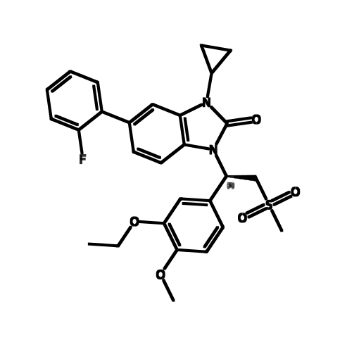 CCOc1cc([C@H](CS(C)(=O)=O)n2c(=O)n(C3CC3)c3cc(-c4ccccc4F)ccc32)ccc1OC